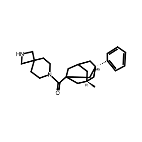 C[C@]12CC3CC(C(=O)N4CCC5(CC4)CNC5)(C1)C[C@@](c1ccccc1)(C3)C2